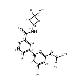 Cc1ncc(C(=O)NC2CC(F)(F)C2)cc1-c1cc(F)cc(OC(F)F)c1